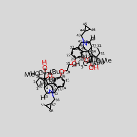 CO[C@@]12CC[C@@]3(C[C@@H]1[C@](C)(O)C(C)(C)C)[C@H]1Cc4ccc(OCCOc5ccc6c7c5O[C@H]5[C@]8(OC)CC[C@@]9(C[C@@H]8[C@](C)(O)C(C)(C)C)[C@@H](C6)N(CC6CC6)CC[C@]759)c5c4[C@@]3(CCN1CC1CC1)[C@H]2O5